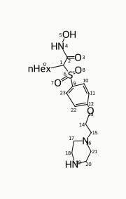 CCCCCCC(C(=O)NO)S(=O)(=O)c1ccc(OCCN2CCNCC2)cc1